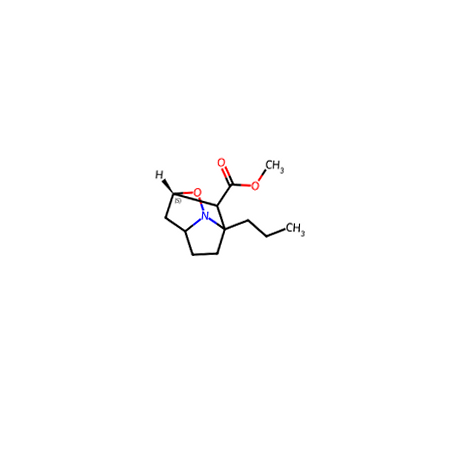 CCCC12CCC3C[C@H](ON31)C2C(=O)OC